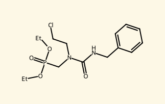 CCOP(=O)(CN(CCCl)C(=O)NCc1ccccc1)OCC